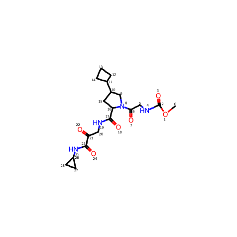 COC(=O)NCC(=O)N1CC(C2CCC2)CC1C(=O)NCC(=O)C(=O)NC1CC1